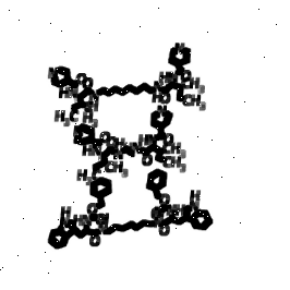 CCC(C)[C@H](NC(=O)c1ccncc1)C(=O)NCCCCCCCCNC(=O)[C@@H](NC(=O)c1ccncc1)C(C)CC.CCC(C)[C@H](NC(=O)c1ccncc1)C(=O)NCCNC(=O)[C@@H](NC(=O)c1ccncc1)C(C)CC.O=C(NC(Cc1c[nH]c2ccccc12)C(=O)NCCCCCCCNC(=O)C(Cc1c[nH]c2ccccc12)NC(=O)OCc1ccccc1)OCc1ccccc1